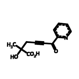 CC(O)(CC#CC(=O)c1ccccn1)C(=O)O